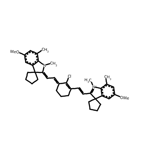 COc1cc(C)c2c(c1)C1(CCCC1)C(/C=C/C1=C(Cl)C(=C/C=C3\N(C)c4c(C)cc(OC)cc4C34CCCC4)/CCC1)=[N+]2C